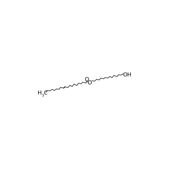 CCCCCCCCC=CCCCCCCCCCC(=O)OCCCCCCCCCCCCCCCO